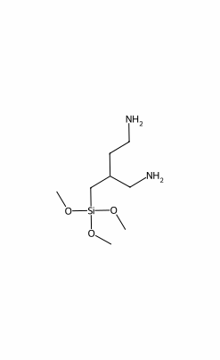 CO[Si](CC(CN)CCN)(OC)OC